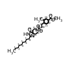 CCCCCCCCCC1=NC2(CCN(S(=O)(=O)CCc3ccc(C(=O)OC)cc3C)CC2)C(=O)N1